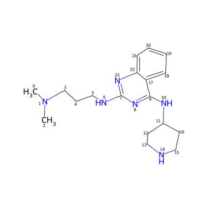 CN(C)CCCNc1nc(NC2CCNCC2)c2ccccc2n1